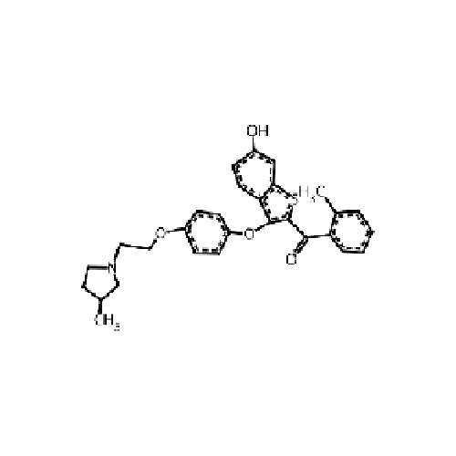 Cc1ccccc1C(=O)c1sc2cc(O)ccc2c1Oc1ccc(OCCN2CC[C@H](C)C2)cc1